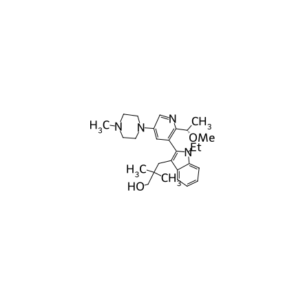 CCn1c(-c2cc(N3CCN(C)CC3)cnc2[C@H](C)OC)c(CC(C)(C)CO)c2ccccc21